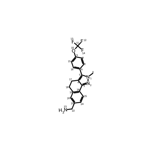 Cn1nc2c(c1-c1ccc(OC(F)(F)F)cc1)CCc1cc(CN)ccc1-2